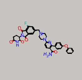 NC(=O)c1ccc(N2CCN(Cc3cc(F)c4c(c3)C(=O)N(C3CCC(=O)NC3=O)C4=O)CC2)nc1-c1ccc(Oc2ccccc2)cc1